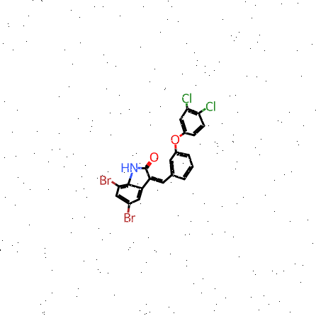 O=C1Nc2c(Br)cc(Br)cc2C1=Cc1cccc(Oc2ccc(Cl)c(Cl)c2)c1